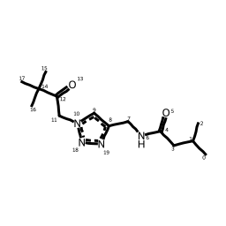 CC(C)CC(=O)NCc1cn(CC(=O)C(C)(C)C)nn1